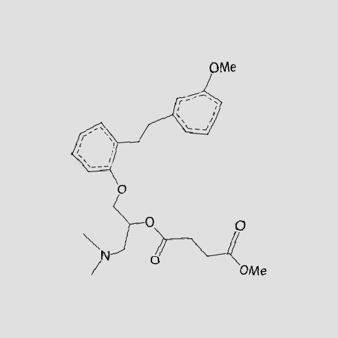 COC(=O)CCC(=O)OC(COc1ccccc1CCc1cccc(OC)c1)CN(C)C